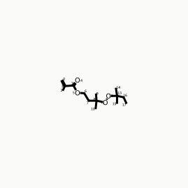 C=C(C)C(=O)OCCC(C)(C)OOC(C)(C)CC